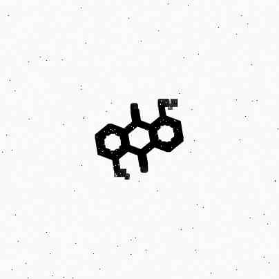 Nc1cccc2c1C(=O)c1cccc(S(=O)(=O)O)c1C2=O